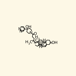 C[C@H](CCC(=O)N1CCC(O)(c2ccnnc2)CC1)[C@H]1CC[C@H]2[C@@H]3CC=C4C[C@@H](O)CC[C@]4(C)[C@H]3CC[C@]12C